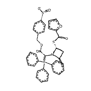 O=C(OCc1ccc([N+](=O)[O-])cc1)C(N1C(=O)C[C@H]1SC(=O)c1ccco1)=P(c1ccccc1)(c1ccccc1)c1ccccc1